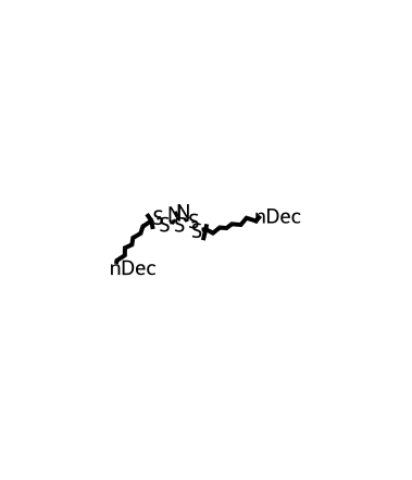 CCCCCCCCCCCCCCCCCC(C)(C)SSc1nnc(SSC(C)(C)CCCCCCCCCCCCCCCCC)s1